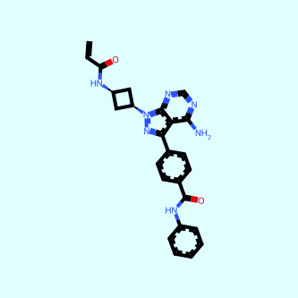 C=CC(=O)N[C@H]1C[C@@H](n2nc(-c3ccc(C(=O)Nc4ccccc4)cc3)c3c(N)ncnc32)C1